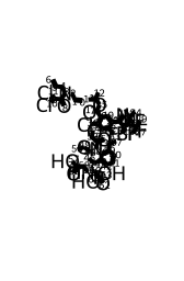 C=CCN(CC=C)C(=O)C(Cl)Cl.CC(C)OC(=O)c1cc(-c2nn(C)c(C(F)(F)F)c2Br)c(F)cc1Cl.CCc1cccc(CC)c1N(COC)C(=O)CCl.O=C(O)CNCP(=O)(O)O